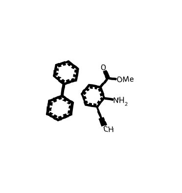 C#Cc1cccc(C(=O)OC)c1N.c1ccc(-c2ccccc2)cc1